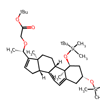 C[C@H](OCC(=O)OC(C)(C)C)C1=CC[C@H]2C3=CC=C4C[C@@H](O[Si](C)(C)C(C)(C)C)C[C@H](O[Si](C)(C)C(C)(C)C)[C@]4(C)[C@H]3CC[C@]12C